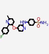 Cc1ccc(Oc2ccnc(Nc3ccc(S(N)(=O)=O)cc3)c2)c(-c2ccc(F)cc2)n1